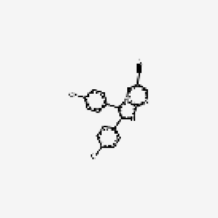 N#Cc1cnc2nc(-c3ccc(Cl)cc3)c(-c3ccc(Cl)cc3)n2c1